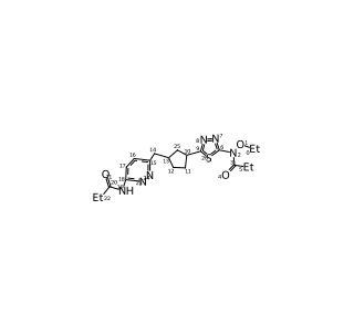 CCON(C(=O)CC)c1nnc(C2CCC(Cc3ccc(NC(=O)CC)nn3)C2)s1